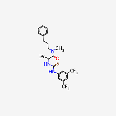 CC(C)[C@H](NC(=S)Nc1cc(C(F)(F)F)cc(C(F)(F)F)c1)C(=O)N(C)CCCc1ccccc1